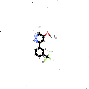 COc1cc(-c2cccc(C(F)(F)F)c2)nnc1F